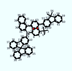 CC(C)(C)c1ccc(N(c2ccc3c(c2)-c2ccccc2C32c3ccccc3-c3ccccc32)c2ccc3ccccc3c2-c2ccc(-c3ccc4c(c3)C(C)(C)c3ccccc3-4)cc2)cc1